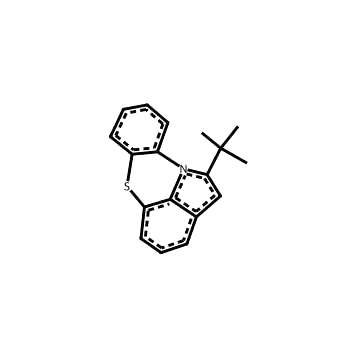 CC(C)(C)c1cc2cccc3c2n1-c1ccccc1S3